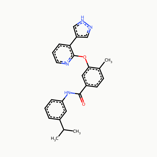 Cc1ccc(C(=O)Nc2cccc(C(C)C)c2)cc1Oc1ncccc1-c1cn[nH]c1